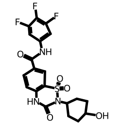 O=C(Nc1cc(F)c(F)c(F)c1)c1ccc2c(c1)S(=O)(=O)N(C1CCC(O)CC1)C(=O)N2